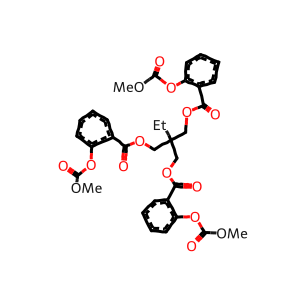 CCC(COC(=O)c1ccccc1OC(=O)OC)(COC(=O)c1ccccc1OC(=O)OC)COC(=O)c1ccccc1OC(=O)OC